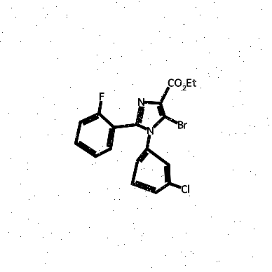 CCOC(=O)c1nc(-c2ccccc2F)n(-c2cccc(Cl)c2)c1Br